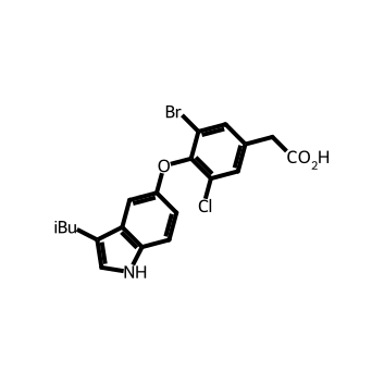 CCC(C)c1c[nH]c2ccc(Oc3c(Cl)cc(CC(=O)O)cc3Br)cc12